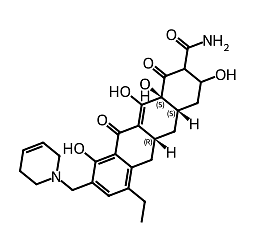 CCc1cc(CN2CC=CCC2)c(O)c2c1C[C@H]1C[C@H]3CC(O)C(C(N)=O)C(=O)[C@@]3(O)C(O)=C1C2=O